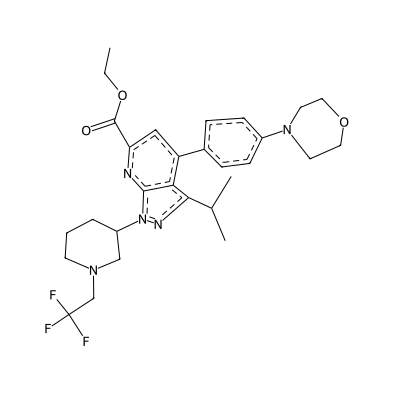 CCOC(=O)c1cc(-c2ccc(N3CCOCC3)cc2)c2c(C(C)C)nn(C3CCCN(CC(F)(F)F)C3)c2n1